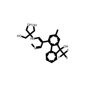 C/N=C\C(=C/NC(CO)(CO)CO)c1cc(C)cc2c1-c1ccccc1C2(O)C(F)(F)F